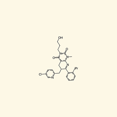 CC(C)c1ccccc1C1=Nc2c(c(=O)n(CCCO)c(=O)n2C)CC1Cc1ccc(Cl)cn1